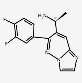 C[C@H](N)c1cc2nccn2nc1-c1ccc(F)c(F)c1